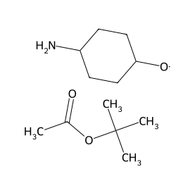 CC(=O)OC(C)(C)C.NC1CCC([O])CC1